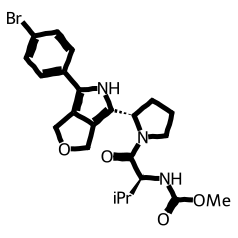 COC(=O)N[C@H](C(=O)N1CCC[C@H]1c1[nH]c(-c2ccc(Br)cc2)c2c1COC2)C(C)C